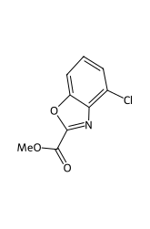 COC(=O)c1nc2c(Cl)cccc2o1